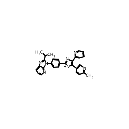 Cc1ccc(-c2[nH]c(-c3ccc(-n4c(C(C)C)nc5cccnc54)cc3)nc2-c2ccccn2)cn1